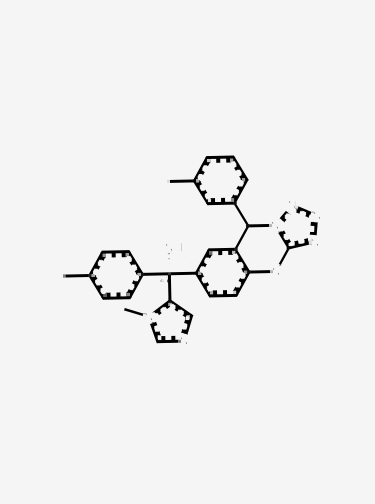 Cn1cncc1[C@@](N)(c1ccc(Cl)cc1)c1ccc2c(c1)C(c1cccc(Cl)c1)n1nnnc1N2